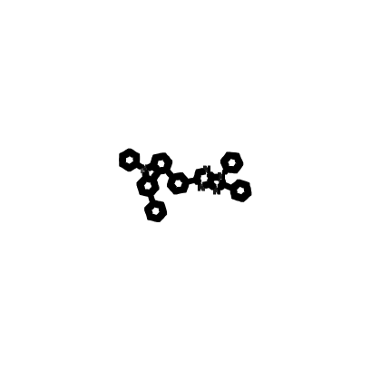 c1ccc(-c2ccc3c(c2)c2c(-c4cccc(-c5cnc6c(n5)nc(-c5ccccc5)n6-c5ccccc5)c4)cccc2n3-c2ccccc2)cc1